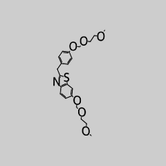 COCCOCOc1ccc(Cc2nc3ccc(OCOCCOC)cc3s2)cc1